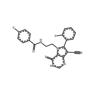 N#Cc1c(-c2ccccc2F)n(CCNC(=O)c2ccc(F)cc2)c2c(=S)[nH]cnc12